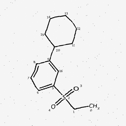 CCS(=O)(=O)c1cccc(C2CCCCC2)c1